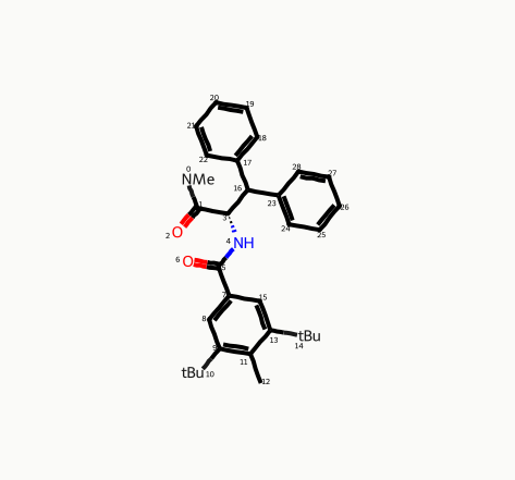 CNC(=O)[C@@H](NC(=O)c1cc(C(C)(C)C)c(C)c(C(C)(C)C)c1)C(c1ccccc1)c1ccccc1